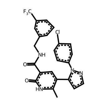 Cc1[nH]c(=O)c(C(=O)NCc2cccc(C(F)(F)F)c2)cc1-c1ccnn1-c1ccc(Cl)cc1